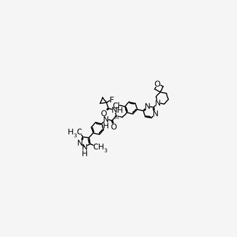 Cc1n[nH]c(C)c1-c1ccc(NC(=O)[C@H](Cc2cc(-c3ccnc(N4CCCC5(COC5)C4)n3)ccc2Cl)NC(=O)C2(F)CC2)cc1